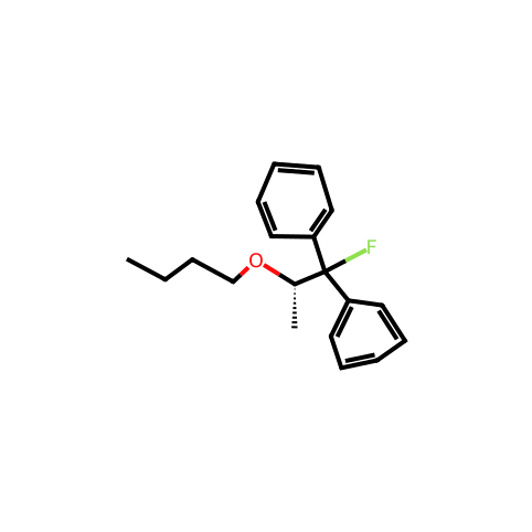 CCCCO[C@@H](C)C(F)(c1ccccc1)c1ccccc1